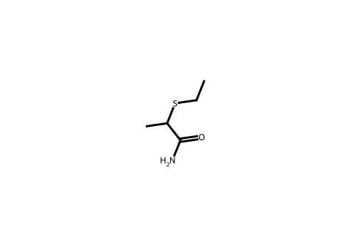 CCSC(C)C(N)=O